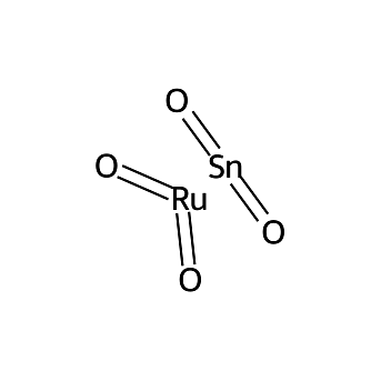 [O]=[Ru]=[O].[O]=[Sn]=[O]